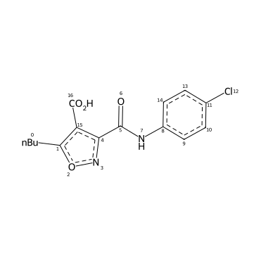 CCCCc1onc(C(=O)Nc2ccc(Cl)cc2)c1C(=O)O